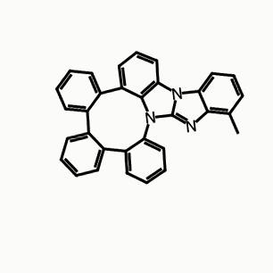 Cc1cccc2c1nc1n2c2cccc3c4ccccc4c4ccccc4c4ccccc4n1c32